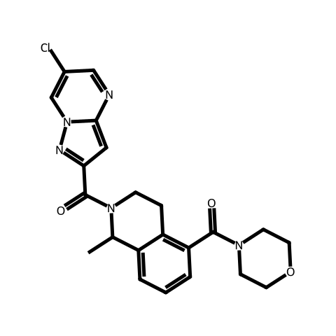 CC1c2cccc(C(=O)N3CCOCC3)c2CCN1C(=O)c1cc2ncc(Cl)cn2n1